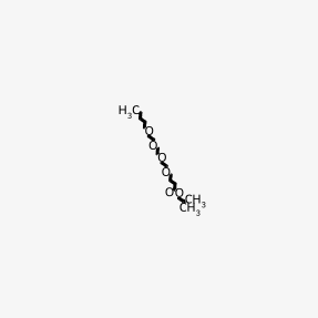 CCCCCOCCOCCOCCOCCCC(=O)OCC(C)C